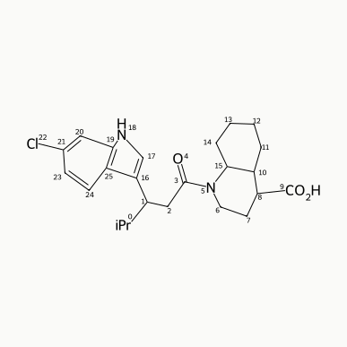 CC(C)C(CC(=O)N1CCC(C(=O)O)C2CCCCC21)c1c[nH]c2cc(Cl)ccc12